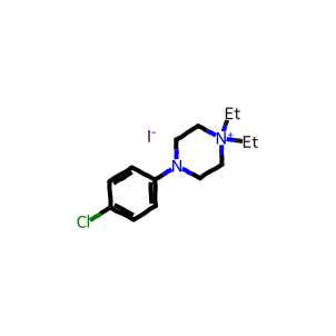 CC[N+]1(CC)CCN(c2ccc(Cl)cc2)CC1.[I-]